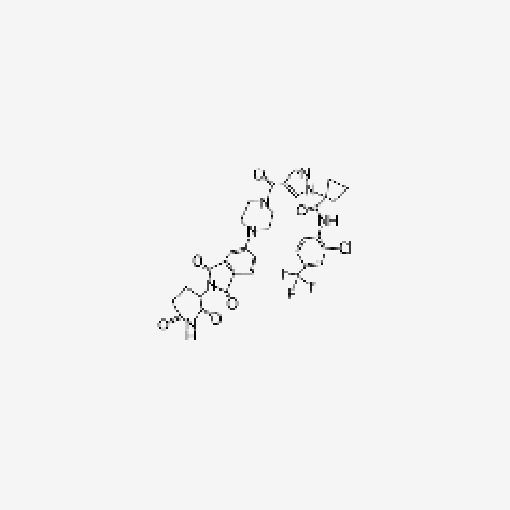 O=C1CCC(N2C(=O)c3ccc(N4CCN(C(=O)c5cnn(C6(C(=O)Nc7ccc(C(F)(F)F)cc7Cl)CCC6)c5)CC4)cc3C2=O)C(=O)N1